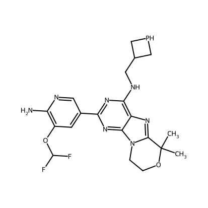 CC1(C)OCCn2c1nc1c(NCC3CPC3)nc(-c3cnc(N)c(OC(F)F)c3)nc12